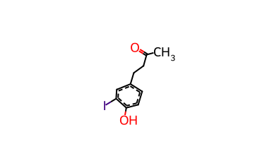 CC(=O)CCc1ccc(O)c(I)c1